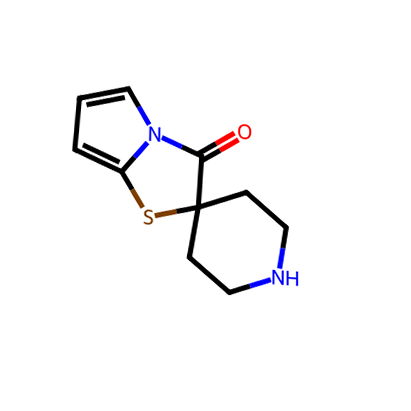 O=C1n2cccc2SC12CCNCC2